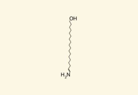 NC=CCCCCCCCCCCCCCCCCO